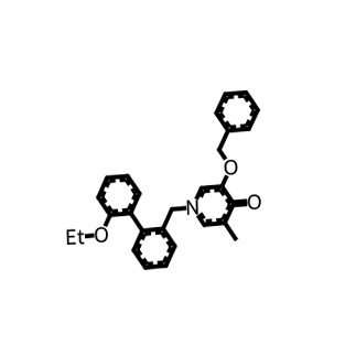 CCOc1ccccc1-c1ccccc1Cn1cc(C)c(=O)c(OCc2ccccc2)c1